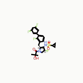 CC(C)(O)C(=O)N1C[C@H](F)[C@H](NS(=O)(=O)C2CC2)[C@@H]1Cc1cccc(-c2cc(F)cc(F)c2)c1F